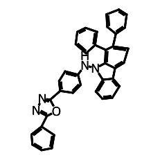 c1ccc(-c2nnc(-c3ccc(Nn4c5ccccc5c5ccc(-c6ccccc6)c(-c6ccccc6)c54)cc3)o2)cc1